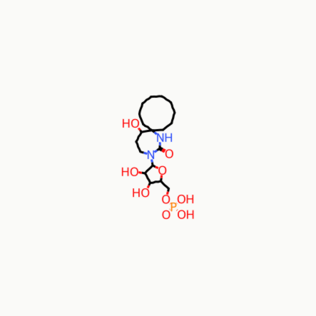 O=C1NC2(CCCCCCCCC2)C(O)CCN1C1OC(COP(=O)(O)O)C(O)C1O